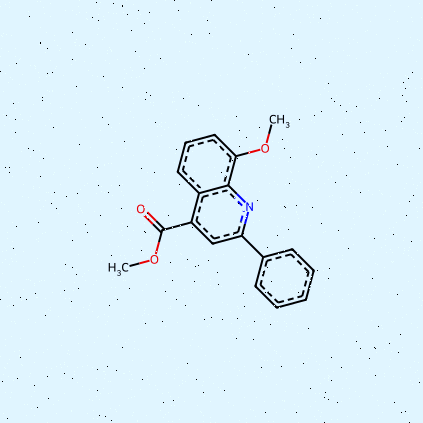 COC(=O)c1cc(-c2ccccc2)nc2c(OC)cccc12